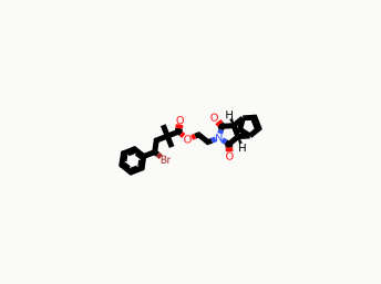 CC(C)(CC(Br)c1ccccc1)C(=O)OCCN1C(=O)[C@@H]2C3C=CC(C3)[C@@H]2C1=O